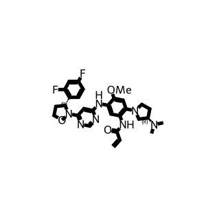 C=CC(=O)Nc1cc(Nc2cc(N3OCC[C@@H]3c3ccc(F)cc3F)ncn2)c(OC)cc1N1CC[C@@H](N(C)C)C1